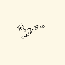 CNC(=O)CCCCC[C@H](NC(=O)CN1CCN(C)CC1)c1ncc(-c2ccc3ccccc3c2)[nH]1